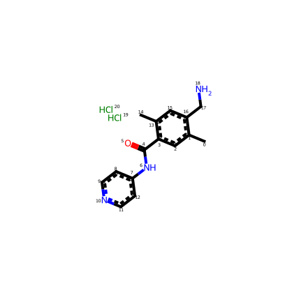 Cc1cc(C(=O)Nc2ccncc2)c(C)cc1CN.Cl.Cl